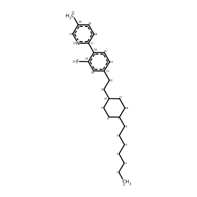 CCCCCCCC1CCC(CCc2ccc(-c3ccc(C)cn3)c(F)c2)CC1